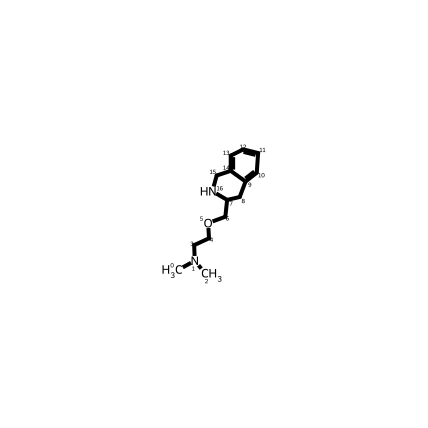 CN(C)CCOCC1Cc2ccccc2CN1